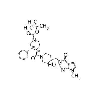 Cn1ccc2c(=O)n(CC3(O)CCN(C(=O)[C@@H]4CCN(C(=O)OC(C)(C)C)C[C@H]4c4ccccc4)CC3)cnc21